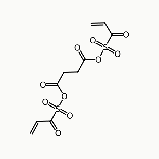 C=CC(=O)S(=O)(=O)OC(=O)CCC(=O)OS(=O)(=O)C(=O)C=C